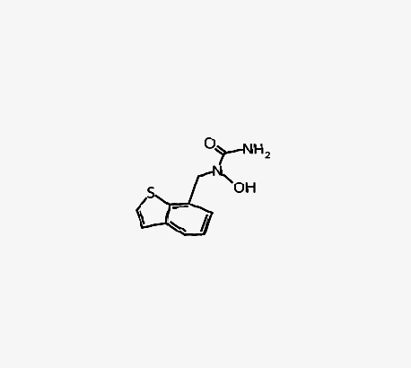 NC(=O)N(O)Cc1cccc2ccsc12